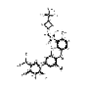 CS(=O)(=O)[C@H]1C[C@H](NS(=O)(=O)c2cc(Oc3c(Cl)cc(-n4nc(C(F)F)c(=O)[nH]c4=O)cc3Cl)ccc2O)C1